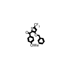 COc1ccc(C(=O)c2sc(C(F)(F)F)cc2OCc2ccccc2)cc1